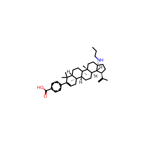 C=C(C)[C@@H]1CC[C@]2(NCCC)CC[C@]3(C)[C@H](CC[C@@H]4[C@@]5(C)CC=C(c6ccc(C(=O)O)cc6)C(C)(C)[C@@H]5CC[C@]43C)[C@@H]12